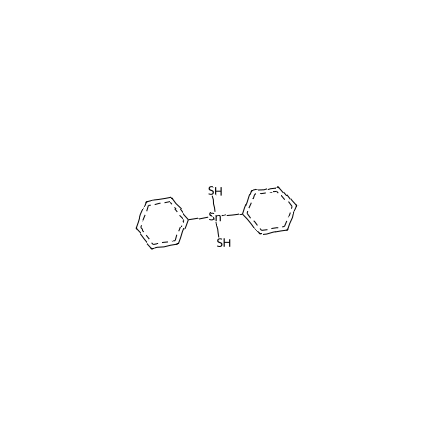 [SH][Sn]([SH])([c]1ccccc1)[c]1ccccc1